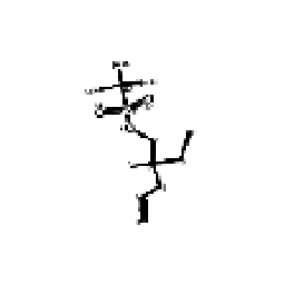 C=CCC(C)(CC)COS(=O)(=O)C(F)(F)F